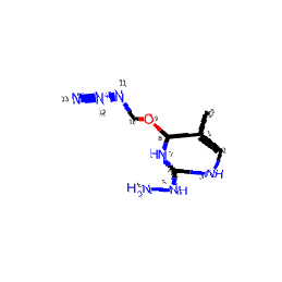 CC1=CNC(NN)NC1OCN=[N+]=[N-]